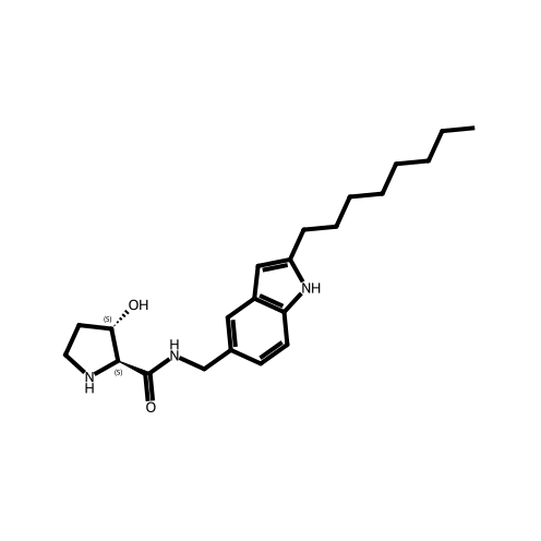 CCCCCCCCc1cc2cc(CNC(=O)[C@H]3NCC[C@@H]3O)ccc2[nH]1